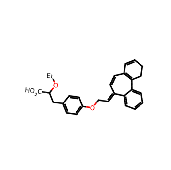 CCOC(Cc1ccc(OCC=C2C=CC3=C(CCC=C3)c3ccccc32)cc1)C(=O)O